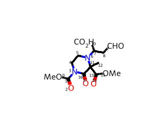 COC(=O)N1CCN(C(CC=O)C(=O)O)C(C)(C(=O)OC)C1=O